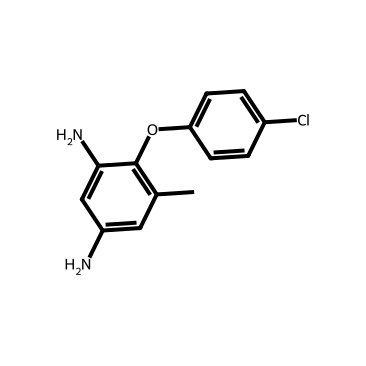 Cc1cc(N)cc(N)c1Oc1ccc(Cl)cc1